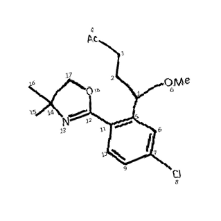 COC(CCC(C)=O)c1cc(Cl)ccc1C1=NC(C)(C)CO1